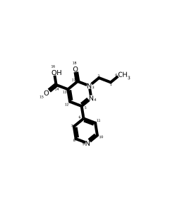 CCCn1nc(-c2ccncc2)cc(C(=O)O)c1=O